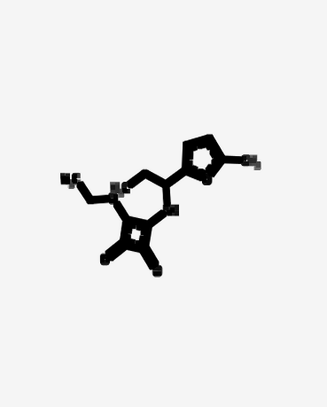 CCOc1c(NC(CC)c2ccc(C)o2)c(=O)c1=O